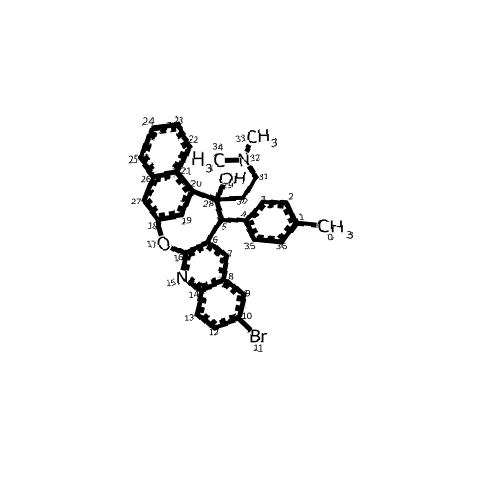 Cc1ccc(C2c3cc4cc(Br)ccc4nc3Oc3cc(c4ccccc4c3)C2(O)CCN(C)C)cc1